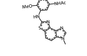 COc1ccc(NC(C)=O)cc1Nc1nc2c(ccc3c2ncn3C)s1